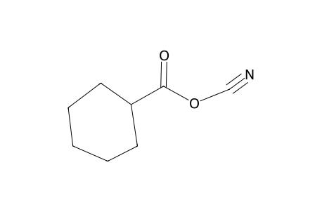 N#COC(=O)C1CCCCC1